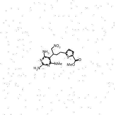 CNc1nc(N)nc(N)c1C(CCc1ccc(C(=O)OC)s1)C[N+](=O)[O-]